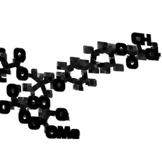 C=C(C)C(=O)OCC(COC(=O)C(=O)OC)(COC(=O)C(=O)OC)COc1ccc(-c2ccc(OC(=O)C(=C)C)cc2)cc1